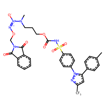 Cc1ccc(-c2cc(C(F)(F)F)nn2-c2ccc(S(=O)(=O)NC(=O)OCCCN(C)/[N+]([O-])=N\OCN3C(=O)c4ccccc4C3=O)cc2)cc1